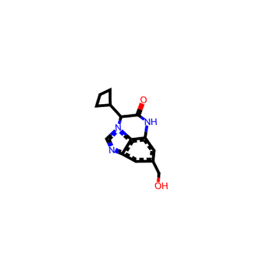 O=C1Nc2cc(CO)cc3ncn(c23)C1C1CCC1